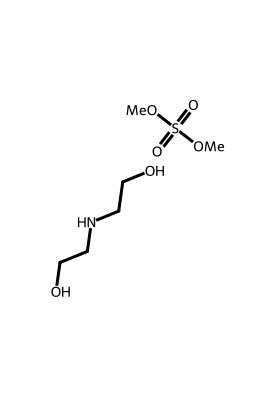 COS(=O)(=O)OC.OCCNCCO